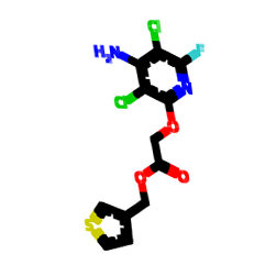 Nc1c(Cl)c(F)nc(OCC(=O)OCc2ccsc2)c1Cl